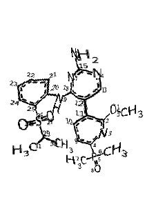 COc1nc(P(C)(C)=O)ccc1-c1cnc(N)nc1Nc1ccccc1S(=O)(=O)C(C)C